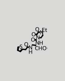 CCN1CCN(C(=O)NC([C]=O)CNC(=O)Cc2cccs2)C(=O)C1=O